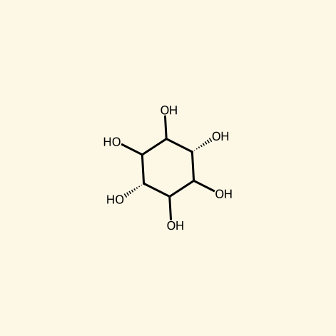 OC1C(O)[C@H](O)C(O)C(O)[C@@H]1O